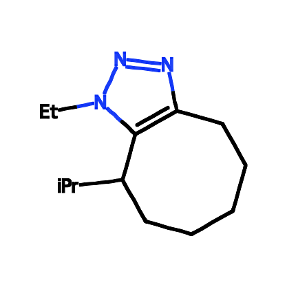 CCn1nnc2c1C(C(C)C)CCCCC2